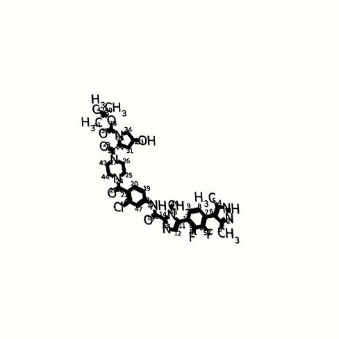 Cc1n[nH]c(C)c1-c1ccc(-c2cnc(C(=O)Nc3ccc(C(=O)N4CCN(C(=O)[C@H]5CC(O)CN5C(=O)OC(C)(C)C)CC4)c(Cl)c3)n2C)c(F)c1F